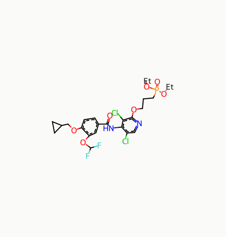 CCOP(=O)(CCCOc1ncc(Cl)c(NC(=O)c2ccc(OCC3CC3)c(OC(F)F)c2)c1Cl)OCC